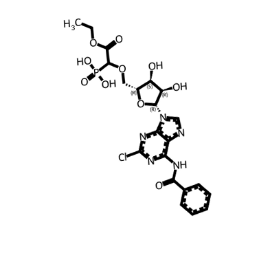 CCOC(=O)C(OC[C@H]1O[C@@H](n2cnc3c(NC(=O)c4ccccc4)nc(Cl)nc32)[C@H](O)[C@@H]1O)P(=O)(O)O